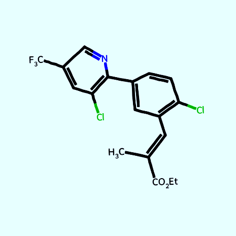 CCOC(=O)C(C)=Cc1cc(-c2ncc(C(F)(F)F)cc2Cl)ccc1Cl